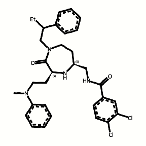 CCC(CN1CC[C@@H](CNC(=O)c2ccc(Cl)c(Cl)c2)N[C@@H](CCN(C)c2ccccc2)C1=O)c1ccccc1